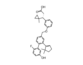 CC1(C)CCC=C1c1cc(COc2cccc([C@@H](CC(=O)O)C3(C)CC3)c2)ccc1-c1cc(O)ccc1F